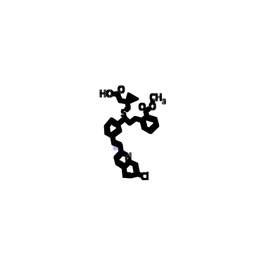 COC(=O)c1ccccc1CCC(SCC1(CC(=O)O)CC1)c1cccc(/C=C/c2ccc3ccc(Cl)cc3n2)c1